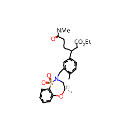 CCOC(=O)CC(CCC(=O)NC)c1ccc(C)c(CN2C[C@H](C)Oc3ccccc3S2(=O)=O)c1